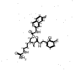 CN(C(=O)NCc1cccc(F)c1Cl)[C@@H](CCCNC(N)=O)COC(=O)Nc1cc2cc(F)ccc2cn1